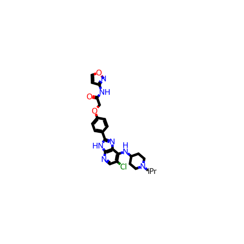 CC(C)N1CCC(Nc2c(Cl)cnc3[nH]c(-c4ccc(OCC(=O)Nc5ccon5)cc4)nc23)CC1